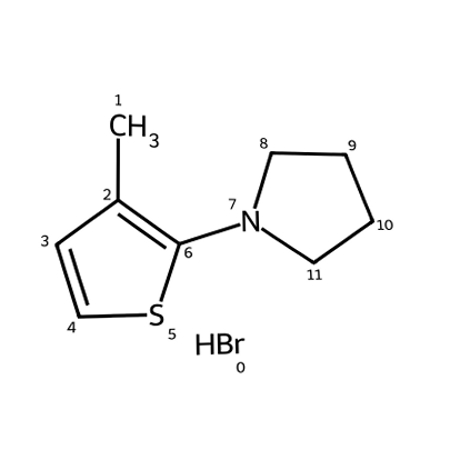 Br.Cc1ccsc1N1CCCC1